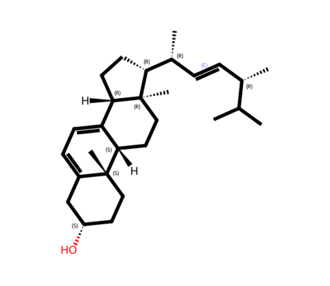 CC(C)[C@@H](C)/C=C/[C@@H](C)[C@H]1CC[C@H]2C3=CC=C4C[C@@H](O)CC[C@@]4(C)[C@H]3CC[C@]12C